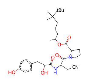 CC(CCCC(C)(C)C(C)(C)C)OC(=O)C1CCCN1C(=O)C(CC#N)NC(=O)C(O)Cc1ccc(O)cc1